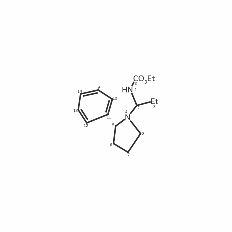 CCOC(=O)NC(CC)N1CCCC1.c1ccccc1